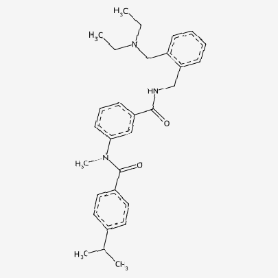 CCN(CC)Cc1ccccc1CNC(=O)c1cccc(N(C)C(=O)c2ccc(C(C)C)cc2)c1